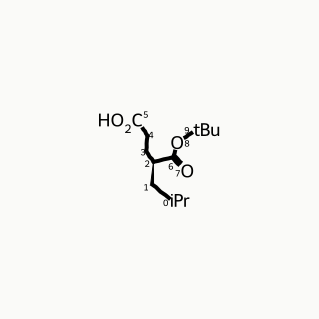 CC(C)C[C@@H](CCC(=O)O)C(=O)OC(C)(C)C